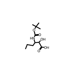 CCCC(NC(=O)OC(C)(C)C)C(O)C(=O)O